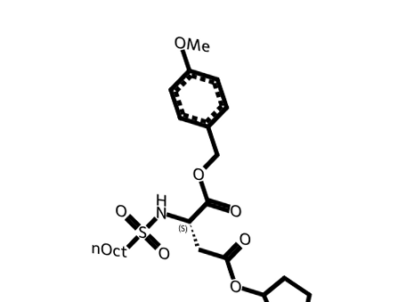 CCCCCCCCS(=O)(=O)N[C@@H](CC(=O)OC1CCCC1)C(=O)OCc1ccc(OC)cc1